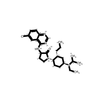 CCC[C@@H]1C[C@@H](N(CC)C(C)C)CC[C@@H]1N1CCC(Nc2ncnc3ccc(Cl)cc23)C1=O